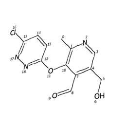 Cc1ncc(CO)c(C=O)c1Oc1ccc(Cl)nn1